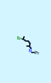 C\C(Br)=C/C=C\C(C)=C\N=C/C(C)C